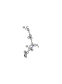 C=COCCCCOC(=O)OCCCCOC(=C)/C=C(\C)C(=O)OCCOC(=O)n1ccnc1